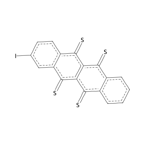 S=c1c2c(=S)c3ccc(I)cc3c(=S)c=2c(=S)c2ccccc12